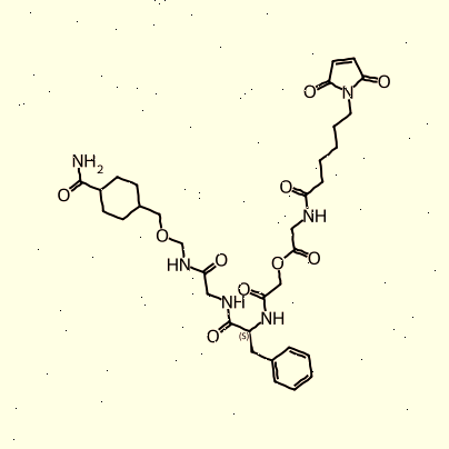 NC(=O)C1CCC(COCNC(=O)CNC(=O)[C@H](Cc2ccccc2)NC(=O)COC(=O)CNC(=O)CCCCCN2C(=O)C=CC2=O)CC1